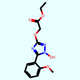 CCOC(=O)COc1nc(-c2ccccc2OC)n(O)n1